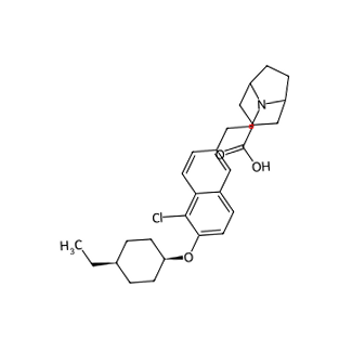 CC[C@H]1CC[C@@H](Oc2ccc3cc(CCN4C5CCC4CC(C(=O)O)C5)ccc3c2Cl)CC1